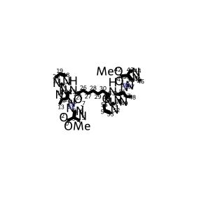 COC(=O)c1cnn(C)c1/N=N/c1c(C)nn(-c2ncccn2)c1NC(=O)CCCCCC(=O)Nc1c(/N=N/c2c(C(=O)OC)cnn2C)c(C)nn1-c1ncccn1